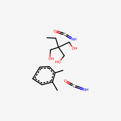 CCC(CO)(CO)CO.Cc1ccccc1C.N=C=O.N=C=O